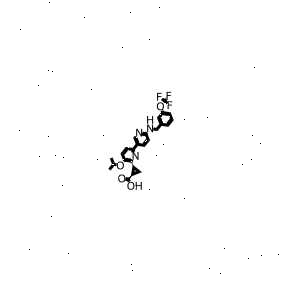 CC(C)Oc1ccc(-c2ccc(NCc3cccc(OC(F)(F)F)c3)nc2)nc1[C@@H]1C[C@H]1C(=O)O